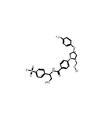 CCOC[C@@H]1C[C@H](Oc2ccc(C(F)(F)F)cc2)CN1c1ccc(C(=O)NC(CO)c2ccc(S(=O)(=O)CC)cc2)cc1